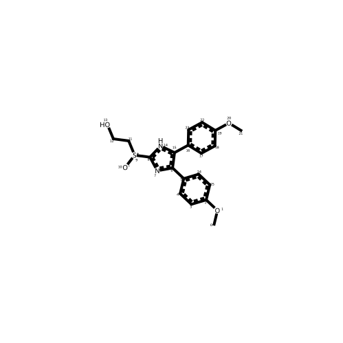 COc1ccc(-c2nc([S+]([O-])CCO)[nH]c2-c2ccc(OC)cc2)cc1